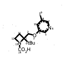 CC(C)(C)C1(COc2cncc(I)c2)CCN1C(=O)O